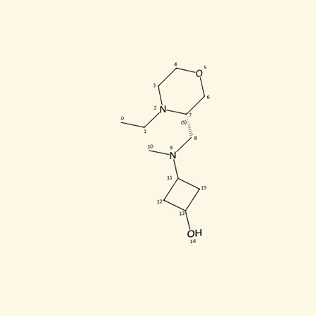 CCN1CCOC[C@@H]1CN(C)C1CC(O)C1